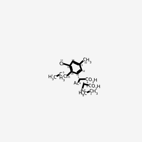 CC.CC.CC(=O)CC(=O)O.CC(=O)CC(=O)O.Cc1ccc(Cl)c(Cl)c1